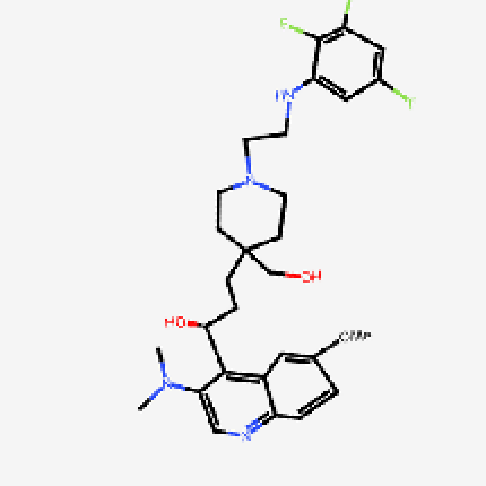 COc1ccc2ncc(N(C)C)c([C@@H](O)CCC3(CO)CCN(CCNc4cc(F)cc(F)c4F)CC3)c2c1